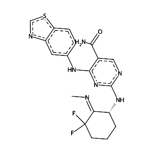 C/N=C1/[C@H](Nc2ncc(C(N)=O)c(Nc3ccc4scnc4c3)n2)CCCC1(F)F